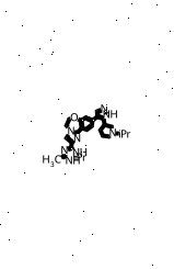 CC(=N)/N=C(\NC(C)C)c1cn2c(n1)-c1ccc(-c3cn[nH]c3C3CCCN(C(C)C)C3)cc1OCC2